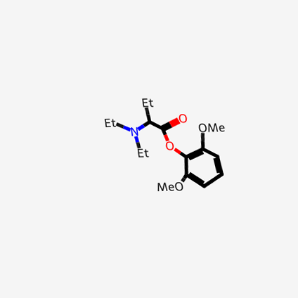 CCC(C(=O)Oc1c(OC)cccc1OC)N(CC)CC